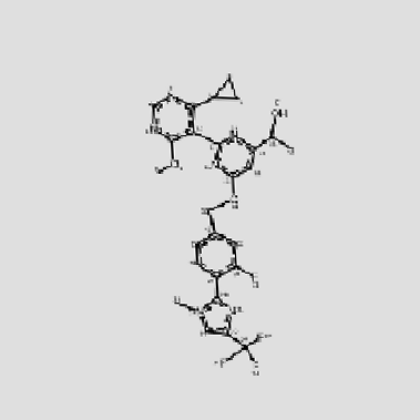 COc1ncnc(C2CC2)c1-c1nc(OCc2ccc(-c3nc(C(F)(F)F)cn3C)c(F)c2)cc(C(C)O)n1